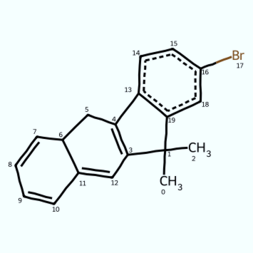 CC1(C)C2=C(CC3C=CC=CC3=C2)c2ccc(Br)cc21